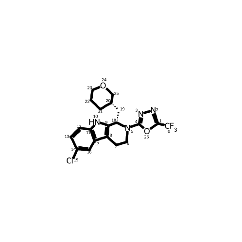 FC(F)(F)c1nnc(N2CCc3c([nH]c4ccc(Cl)cc34)[C@@H]2C[C@@H]2CCCOC2)o1